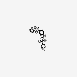 CN1CCC(C(=O)Nc2nc3ccc(N(C)S(=O)(=O)c4cccs4)cc3s2)CC1